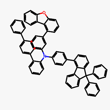 c1ccc(-c2ccc(-c3ccccc3N(c3ccc(-c4cccc5c4-c4ccccc4C5(c4ccccc4)c4ccccc4)cc3)c3cccc(-c4cccc5oc6ccccc6c45)c3)cc2)cc1